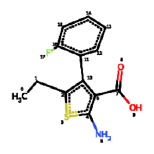 CCc1sc(N)c(C(=O)O)c1-c1ccccc1F